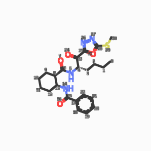 CCCC[C@H](NC(=O)[C@@H]1CCCC[C@@H]1NC(=O)c1ccccc1)C(=O)c1nnc(SC)o1